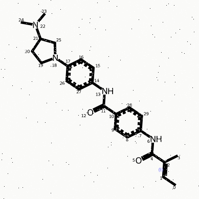 C/C=C(\C)C(=O)Nc1ccc(C(=O)Nc2ccc(N3CCC(N(C)C)C3)cc2)cc1